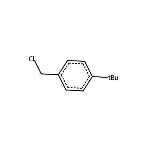 CC(C)(C)c1ccc([CH]Cl)cc1